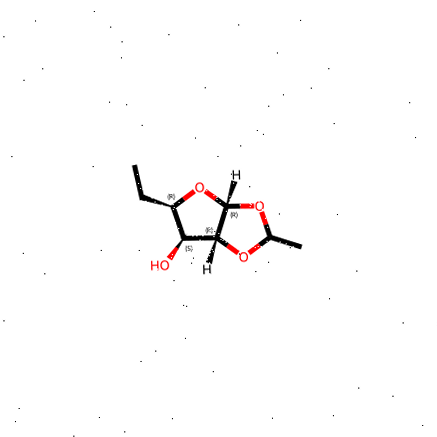 CC[C@H]1O[C@@H]2OC(C)O[C@@H]2[C@H]1O